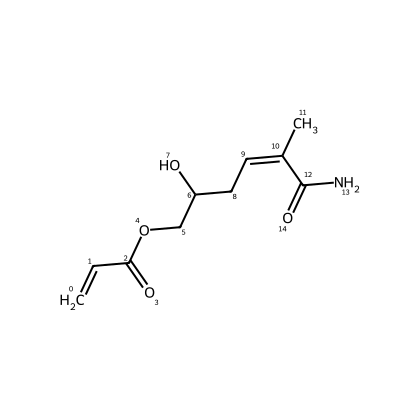 C=CC(=O)OCC(O)CC=C(C)C(N)=O